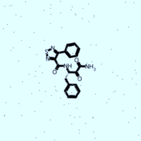 NC(=O)C(=O)[C@H](Cc1ccccc1)NC(=O)c1nsnc1-c1ccccc1